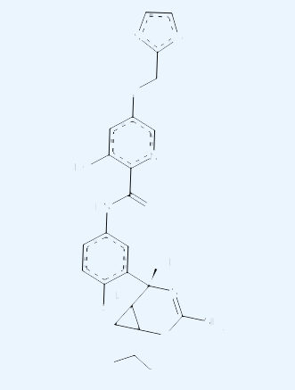 Cc1cc(OCc2ncco2)cnc1C(=O)Nc1ccc(F)c([C@]2(C)N=C(N)S[C@@]3(C(F)F)C[C@@H]23)c1